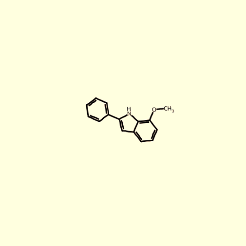 COc1cccc2cc(-c3ccccc3)[nH]c12